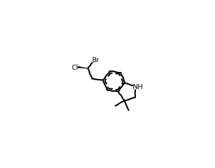 CC1(C)CNc2ccc(C[C@@H](Cl)Br)cc21